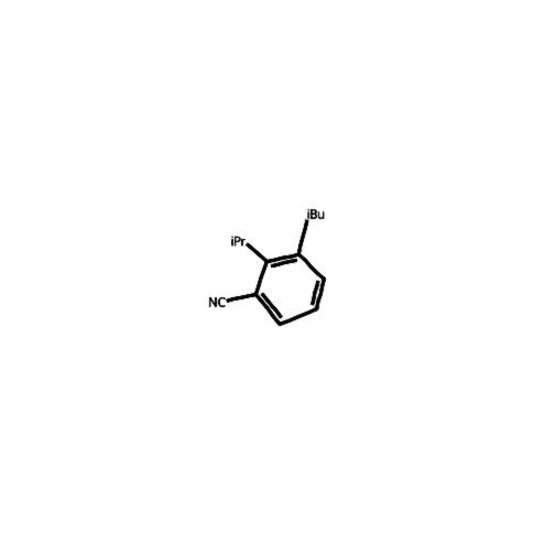 CCC(C)c1cccc(C#N)c1C(C)C